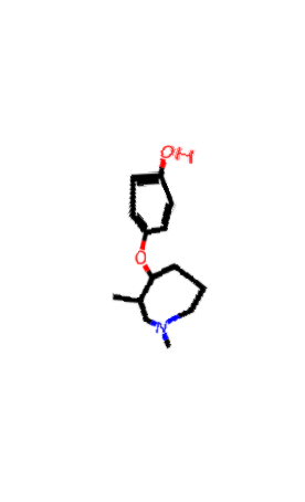 CC1CN(C)CCCC1Oc1ccc(O)cc1